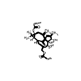 CCCCCCCCCC(=O)O[C@@]12CC(C)C34C=C(C)[C@H](O)[C@@]3(O)[C@H](O)C(COC(=O)CCC)=C[C@H](C4=O)[C@@H]1C2(C)C